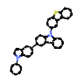 c1ccc(-n2ccc3cc(-c4ccc5c(c4)c4ccccc4n5-c4ccc5sc6ccccc6c5c4)ccc32)cc1